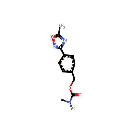 CC(=O)N(C)C(=O)OCc1ccc(-c2noc(C(F)(F)F)n2)cc1